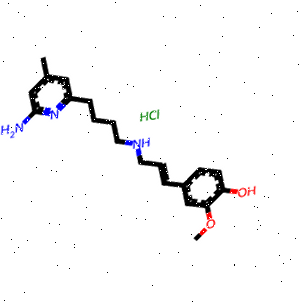 COc1cc(C=CCNCCCCc2cc(C)cc(N)n2)ccc1O.Cl